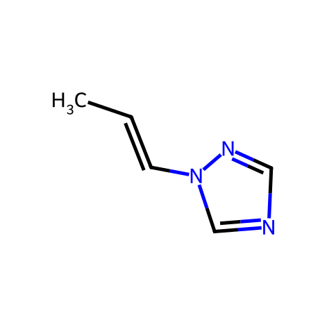 C/C=C/n1cncn1